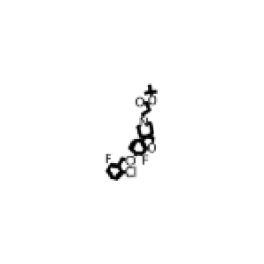 CC(C)(C)OC(=O)CCN1CCC2(CC1)COc1c2ccc(OCc2c(F)cccc2Cl)c1F